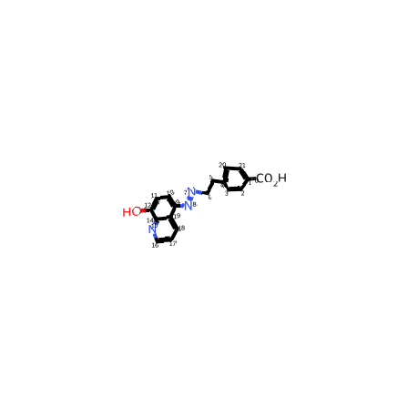 O=C(O)c1ccc(CCN=Nc2ccc(O)c3ncccc23)cc1